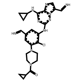 N=Cc1cc(Nc2nc(NC3CC3)c3ncc(C=N)n3n2)c(Cl)c(N2CCN(C(=O)C3CC3)CC2)c1